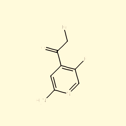 Nc1cc(C(=O)CBr)c(F)cn1